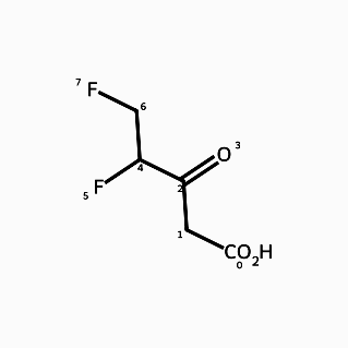 O=C(O)CC(=O)C(F)CF